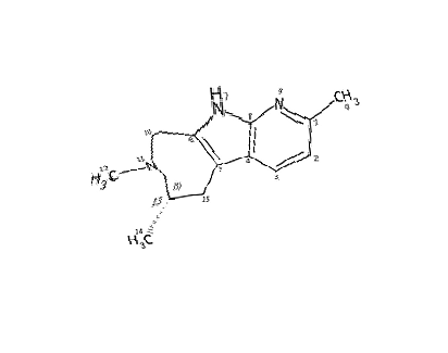 Cc1ccc2c3c([nH]c2n1)CN(C)[C@@H](C)C3